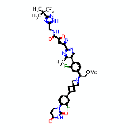 COCC(c1ccc(-c2cnc(-c3cc(C(=O)NCc4nc(C(C)(C)C(F)(F)F)n[nH]4)on3)nc2C)c(F)c1)N1CC2(CC(c3ccc(N4CCC(=O)NC4=O)c(F)c3)C2)C1